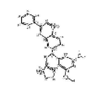 COc1cc(OC)cc(N(Cc2ncc[nH]2)c2ccc3ncc(-c4ccccc4)cc3c2)c1